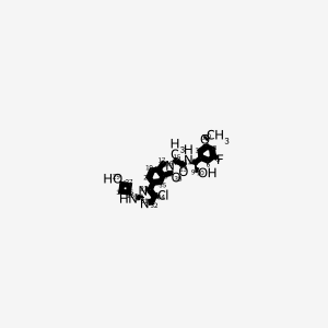 COc1cc(F)cc([C@@H](CO)NC(=O)[C@@H](C)N2Cc3ccc(-c4nc(N[C@H]5C[C@H](O)C5)ncc4Cl)cc3C2=O)c1